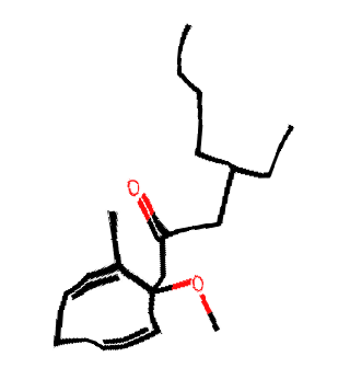 CCCCC(CC)CC(=O)C1(OC)C=CCC=C1C